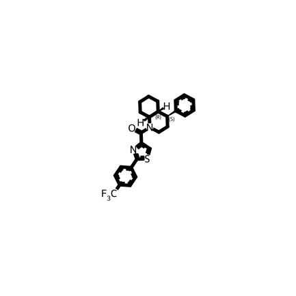 O=C(c1csc(-c2ccc(C(F)(F)F)cc2)n1)N1CC[C@H](c2ccccc2)[C@H]2CCCC[C@H]21